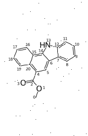 COC(=O)c1cc2c3ccccc3[nH]c2c2ccccc12